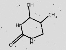 CC1CNC(=O)NC1O